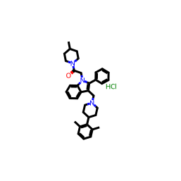 Cc1cccc(C)c1C1CCN(Cc2c(-c3ccccc3)n(CC(=O)N3CCC(C)CC3)c3ccccc23)CC1.Cl